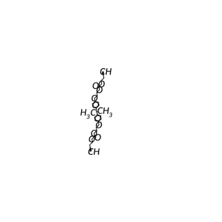 C#CCCOC(=O)OCCOc1ccc(C(C)(C)c2ccc(OCCOC(=O)OCCC#C)cc2)cc1